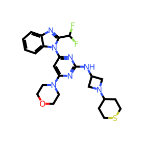 FC(F)c1nc2ccccc2n1-c1cc(N2CCOCC2)nc(NC2CN(C3CCSCC3)C2)n1